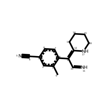 Cc1cc(C#N)ccc1/C(C=N)=C1\CCCCN1